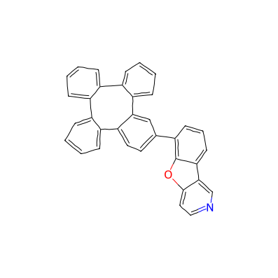 c1ccc2c(c1)-c1ccccc1-c1ccc(-c3cccc4c3oc3ccncc34)cc1-c1ccccc1-2